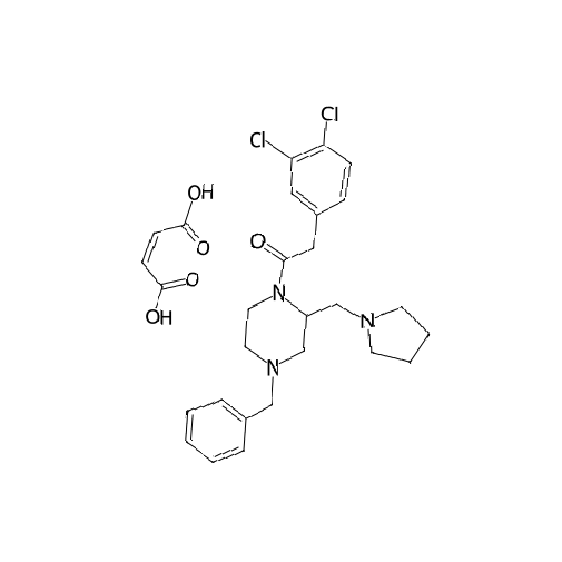 O=C(Cc1ccc(Cl)c(Cl)c1)N1CCN(Cc2ccccc2)CC1CN1CCCC1.O=C(O)/C=C\C(=O)O